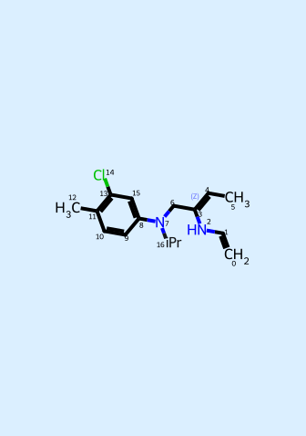 C=CN/C(=C\C)CN(c1ccc(C)c(Cl)c1)C(C)C